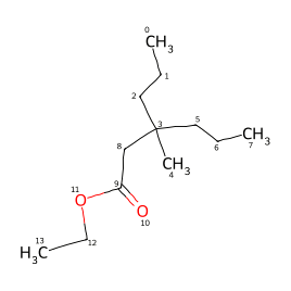 CCCC(C)(CCC)CC(=O)OCC